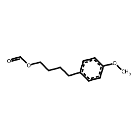 COc1ccc(CCCCOC=O)cc1